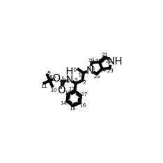 CC(CC(NC(=O)OC(C)(C)C)c1ccccc1)N1CC2=CNCC2C1